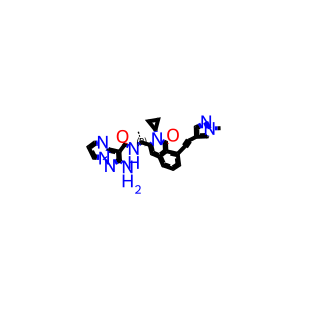 C[C@@H](NC(=O)c1c(N)nn2cccnc12)c1cc2cccc(C#Cc3cnn(C)c3)c2c(=O)n1C1CC1